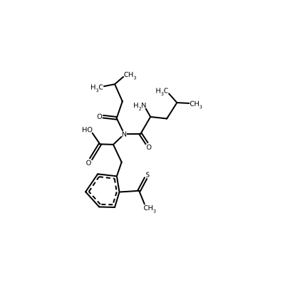 CC(=S)c1ccccc1CC(C(=O)O)N(C(=O)CC(C)C)C(=O)C(N)CC(C)C